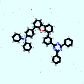 c1ccc(-c2nc(-c3ccccc3)nc(-c3cccc(-c4cccc5c4oc4c(-c6ccc(N(c7ccccc7)c7ccccc7)cc6)cccc45)c3)n2)cc1